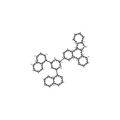 c1ccc2c(-c3cc(-c4cccc5ccccc45)nc(-c4ccc5c(c4)c4ccccc4c4nc6ccccn6c54)n3)cccc2c1